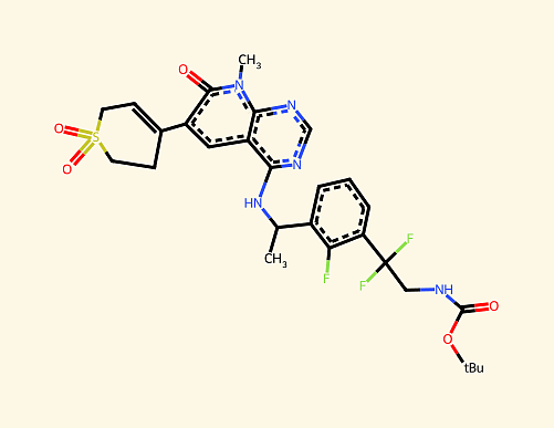 CC(Nc1ncnc2c1cc(C1=CCS(=O)(=O)CC1)c(=O)n2C)c1cccc(C(F)(F)CNC(=O)OC(C)(C)C)c1F